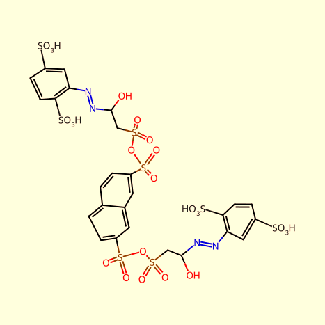 O=S(=O)(CC(O)N=Nc1cc(S(=O)(=O)O)ccc1S(=O)(=O)O)OS(=O)(=O)c1ccc2ccc(S(=O)(=O)OS(=O)(=O)CC(O)N=Nc3cc(S(=O)(=O)O)ccc3S(=O)(=O)O)cc2c1